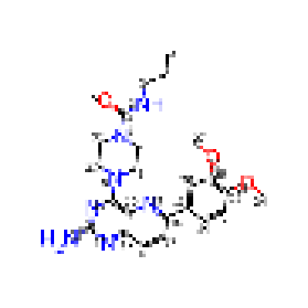 CCCNC(=O)N1CCN(c2nc(N)nc3ccc(-c4ccc(OC)c(OC)c4)nc23)CC1